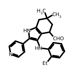 CCc1ccccc1Nc1c(-c2ccncc2)[nH]c2c1C(C=O)CC(C)(C)C2